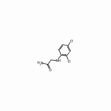 NC(=O)CNc1ccc(Cl)cc1Cl